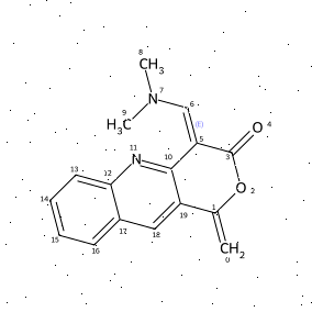 C=c1oc(=O)/c(=C/N(C)C)c2nc3ccccc3cc12